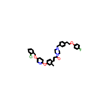 Cc1cc(Oc2ccc(OCc3ccccc3Cl)cn2)ccc1/C=C/C(=O)N1CCN(Cc2ccc(CCOc3ccc(F)cc3)cc2)CC1